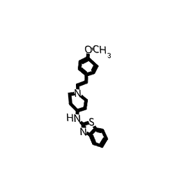 COc1ccc(CCN2CCC(Nc3nc4ccccc4s3)CC2)cc1